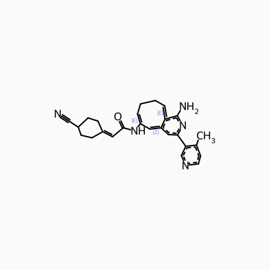 Cc1ccncc1-c1cc2/c(c(N)n1)=C\CC/C=C(NC(=O)C=C1CCC(C#N)CC1)\C=2